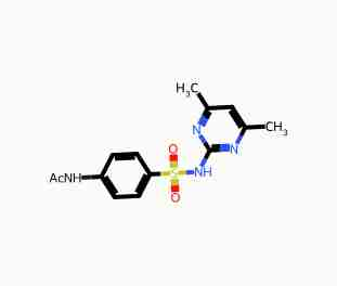 CC(=O)Nc1ccc(S(=O)(=O)Nc2nc(C)cc(C)n2)cc1